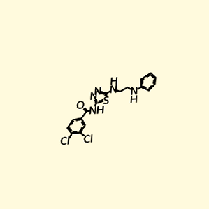 O=C(Nc1nnc(NCCNc2ccccc2)s1)c1ccc(Cl)c(Cl)c1